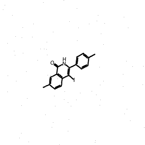 Cc1ccc(-c2[nH]c(=O)c3cc(C)ccc3c2I)cc1